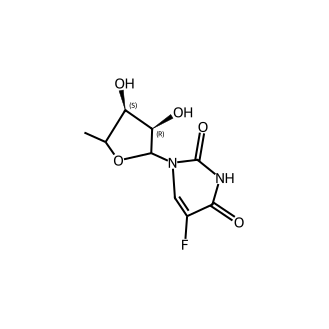 CC1OC(n2cc(F)c(=O)[nH]c2=O)[C@H](O)[C@@H]1O